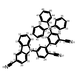 N#Cc1cc(-c2cc(-n3c4ccccc4c4cc(C#N)ccc43)ccc2C#N)cc([Si](c2ccccc2)(c2ccccc2)c2ccccc2)c1